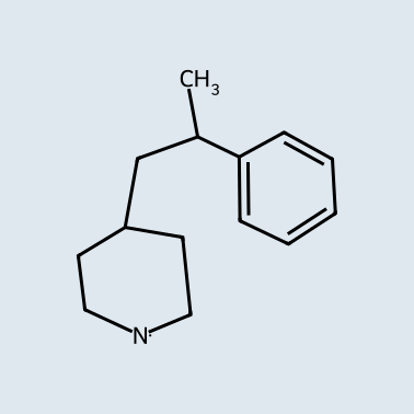 CC(CC1CC[N]CC1)c1ccccc1